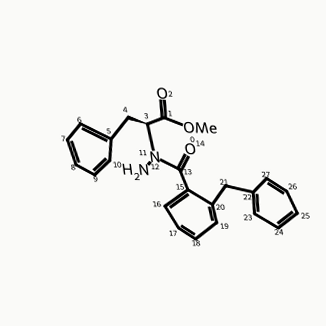 COC(=O)[C@H](Cc1ccccc1)N(N)C(=O)c1ccccc1Cc1ccccc1